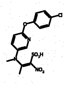 CC(=C([N+](=O)[O-])S(=O)(=O)O)N(C)c1ccc(Oc2ccc(Cl)cc2)nc1